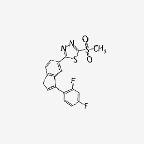 CS(=O)(=O)c1nnc(-c2ccc3c(c2)C(c2ccc(F)cc2F)=CC3)s1